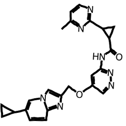 Cc1ccnc(C2CC2C(=O)Nc2cc(OCc3cn4cc(C5CC5)ccc4n3)cnn2)n1